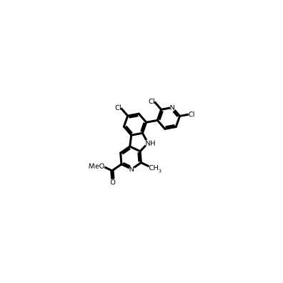 COC(=O)c1cc2c([nH]c3c(-c4ccc(Cl)nc4Cl)cc(Cl)cc32)c(C)n1